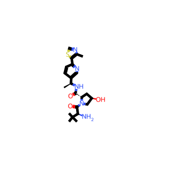 Cc1ncsc1-c1ccc([C@H](C)NC(=O)[C@@H]2C[C@@H](O)CN2C(=O)[C@@H](N)C(C)(C)C)cn1